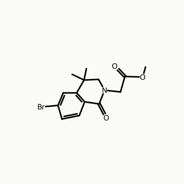 COC(=O)CN1CC(C)(C)c2cc(Br)ccc2C1=O